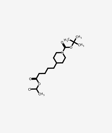 CC(Cl)OC(=O)CCCCC1CCN(C(=O)OC(C)(C)C)CC1